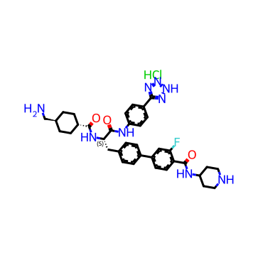 Cl.NC[C@H]1CC[C@H](C(=O)N[C@@H](Cc2ccc(-c3ccc(C(=O)NC4CCNCC4)c(F)c3)cc2)C(=O)Nc2ccc(-c3nn[nH]n3)cc2)CC1